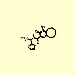 CCCCn1c2c(cc(C(=O)NC(C(=O)O)c3cccs3)c1=O)CCCCCC2